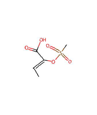 C/C=C(\OS(C)(=O)=O)C(=O)O